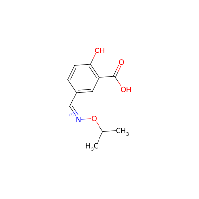 CC(C)O/N=C\c1ccc(O)c(C(=O)O)c1